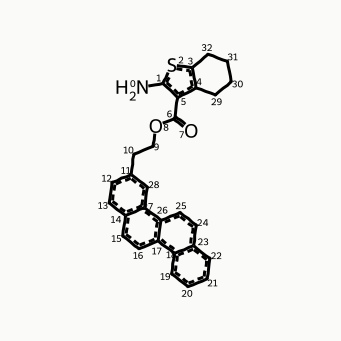 Nc1sc2c(c1C(=O)OCCc1ccc3ccc4c5ccccc5ccc4c3c1)CCCC2